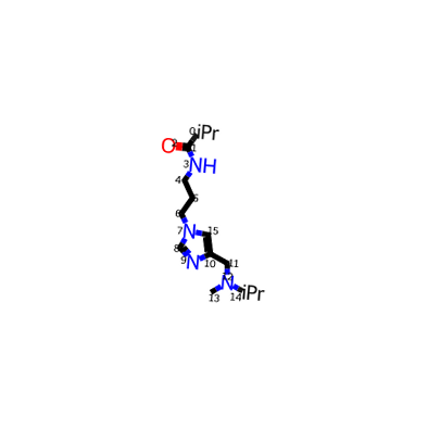 CC(C)C(=O)NCCCn1cnc(CN(C)C(C)C)c1